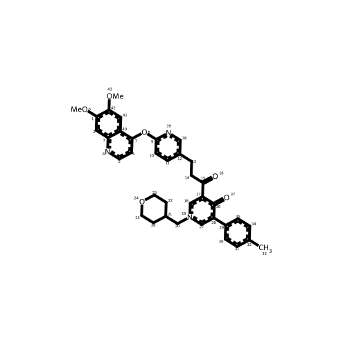 COc1cc2nccc(Oc3ccc(CCC(=O)c4cn(CC5CCOCC5)cc(-c5ccc(C)cc5)c4=O)cn3)c2cc1OC